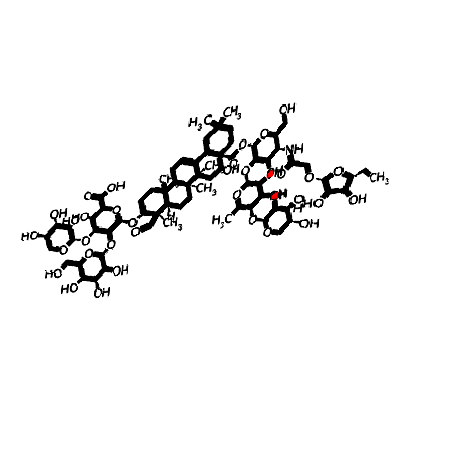 CC[C@@H]1O[C@@H](OCC(=O)N[C@H]2C(CO)O[C@@H](OC(=O)[C@]34CCC(C)(C)CC3C3=CCC5C6(C)CC[C@H](O[C@@H]7OC(C(=O)O)[C@@H](O)[C@H](O[C@@H]8OC[C@@H](O)[C@H](O)C8O)C7O[C@@H]7OC(CO)[C@H](O)[C@H](O)C7O)[C@](C)(C=O)[C@@H]6CC[C@]5(C)[C@]3(C)CC4O)C(O[C@@H]3OC(C)[C@H](O[C@@H]4OC[C@@H](O)C(O)C4O)C(O)C3O)C2O)C(O)C1O